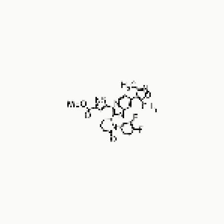 COC(=O)c1cc(-c2c(C3CCCC(=O)N3c3ccc(F)c(F)c3)nc3cc(-c4c(C)noc4C)ccn23)sn1